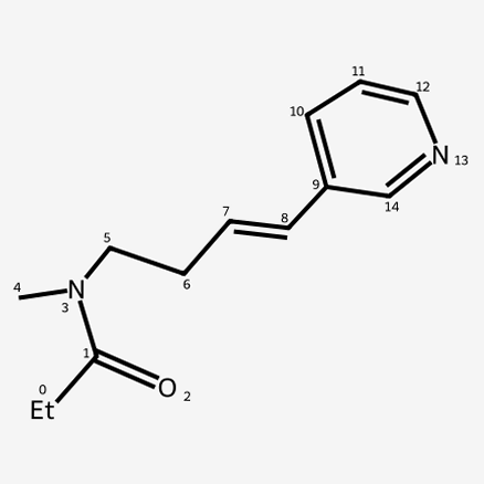 CCC(=O)N(C)CC/C=C/c1cccnc1